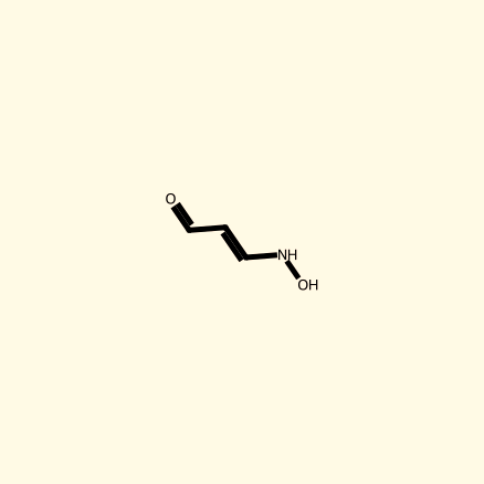 O=CC=CNO